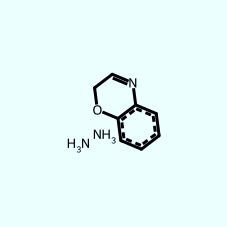 C1=Nc2ccccc2OC1.N.N